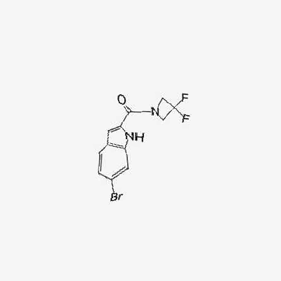 O=C(c1cc2ccc(Br)cc2[nH]1)N1CC(F)(F)C1